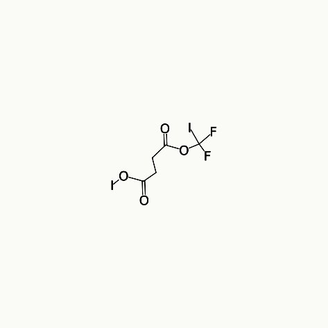 O=C(CCC(=O)OC(F)(F)I)OI